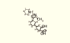 Cc1nc(CN2CCCCC2)sc1-c1cccc(-c2ccc(C(=O)O)c(O)c2)c1